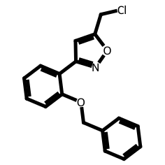 ClCc1cc(-c2ccccc2OCc2ccccc2)no1